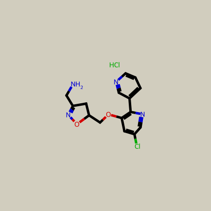 Cl.NCC1=NOC(COc2cc(Cl)cnc2-c2cccnc2)C1